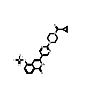 O=C(C1CC1)N1CCN(c2ncc(-c3cc4c(OS(=O)(=O)C(F)(F)F)cccc4c(=O)[nH]3)cn2)CC1